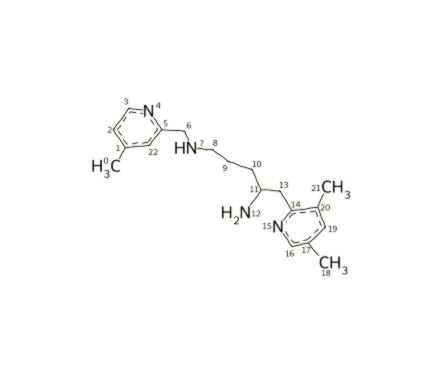 Cc1ccnc(CNCCCC(N)Cc2ncc(C)cc2C)c1